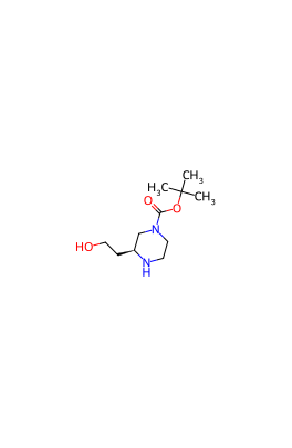 CC(C)(C)OC(=O)N1CCN[C@@H](CCO)C1